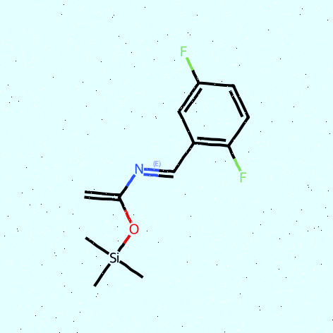 C=C(/N=C/c1cc(F)ccc1F)O[Si](C)(C)C